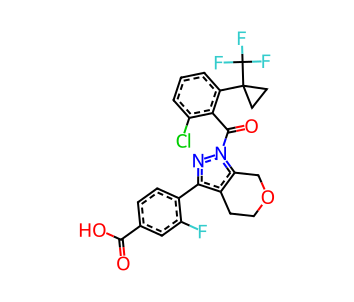 O=C(O)c1ccc(-c2nn(C(=O)c3c(Cl)cccc3C3(C(F)(F)F)CC3)c3c2CCOC3)c(F)c1